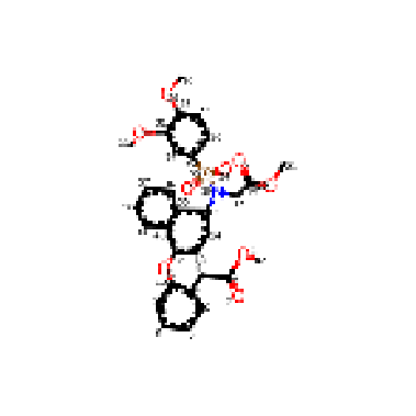 COC(=O)Cc1ccccc1Oc1ccc(N(CC(=O)OC)S(=O)(=O)c2ccc(OC)c(OC)c2)c2ccccc12